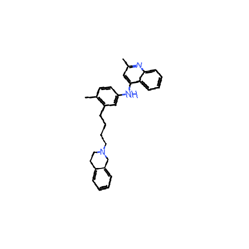 Cc1cc(Nc2ccc(C)c(CCCCN3CCc4ccccc4C3)c2)c2ccccc2n1